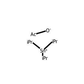 CC(=O)[O-].C[CH](C)[Sn+]([CH](C)C)[CH](C)C